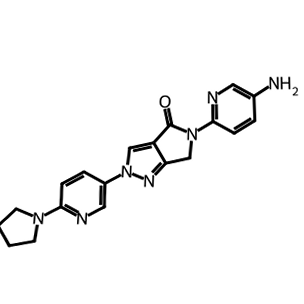 Nc1ccc(N2Cc3nn(-c4ccc(N5CCCC5)nc4)cc3C2=O)nc1